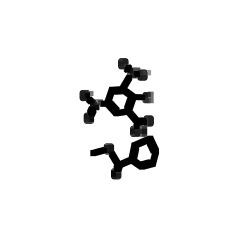 COC(=O)c1ccccc1.O=C(O)c1cc([N+](=O)[O-])cc([N+](=O)[O-])c1Cl